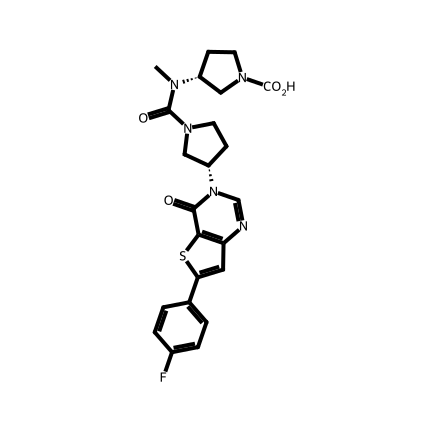 CN(C(=O)N1CC[C@H](n2cnc3cc(-c4ccc(F)cc4)sc3c2=O)C1)[C@@H]1CCN(C(=O)O)C1